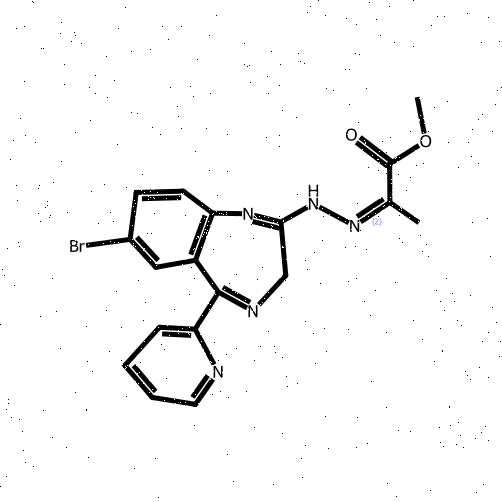 COC(=O)/C(C)=N\NC1=Nc2ccc(Br)cc2C(c2ccccn2)=NC1